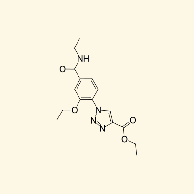 CCNC(=O)c1ccc(-n2cc(C(=O)OCC)nn2)c(OCC)c1